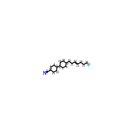 N#CC1CCC(C2CCC(CC/C=C/CCCF)CC2)CC1